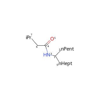 CCCCCCCC(CCCCC)NC(=O)CC(C)C